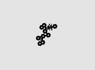 c1ccc(-c2ncc(N(c3cccc(-c4ccccc4-c4ccc5c6ccccc6n(-c6cccc7ccccc67)c5c4)c3)c3cccc4ccccc34)cn2)cc1